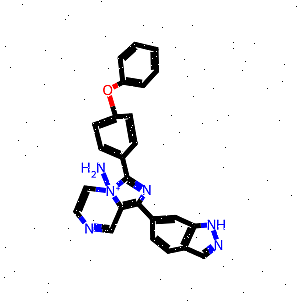 N[N+]12C=CN=CC1=C(c1ccc3cn[nH]c3c1)N=C2c1ccc(Oc2ccccc2)cc1